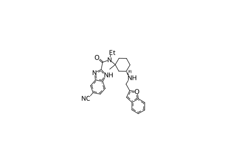 CCN(C(=O)c1nc2cc(C#N)ccc2[nH]1)C1(C)CCC[C@@H](NCc2cc3ccccc3o2)C1